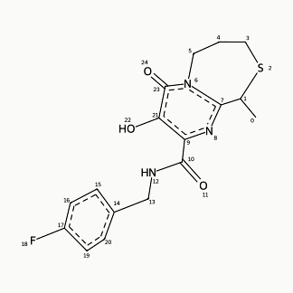 CC1SCCCn2c1nc(C(=O)NCc1ccc(F)cc1)c(O)c2=O